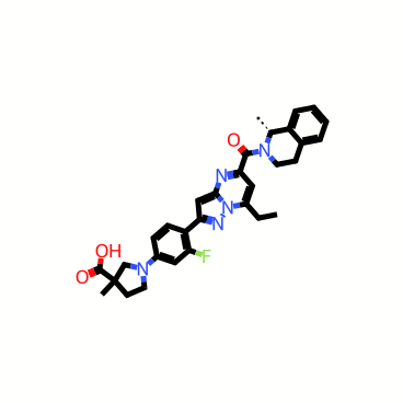 CCc1cc(C(=O)N2CCc3ccccc3[C@H]2C)nc2cc(-c3ccc(N4CCC(C)(C(=O)O)C4)cc3F)nn12